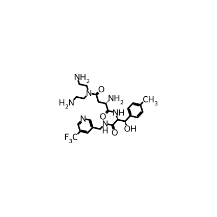 Cc1ccc([C@@H](O)[C@H](NC(=O)[C@@H](N)CC(=O)N(CCN)CCN)C(=O)NCc2cncc(C(F)(F)F)c2)cc1